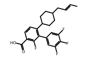 CC=CCC1CCC(c2ccc(C(=O)O)c(F)c2-c2cc(F)c(F)c(F)c2)CC1